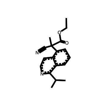 CCOC(=O)C(C)(C#N)c1cccc2c(C(C)C)nccc12